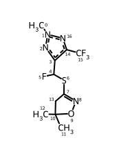 Cn1nc(C(F)SC2=NOC(C)(C)C2)c(C(F)(F)F)n1